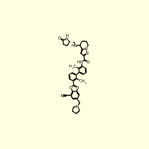 Cc1c(NC(=O)c2cc3n(n2)CCCC3NC[C@@H]2CCC(=O)N2)cccc1-c1cccc(-c2nc3cc(CN4CCCC4)cc(C#N)c3o2)c1C